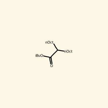 CCCCCCCCC(CCCCCCCC)C(=O)OCC(C)C